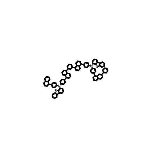 c1ccc(-c2ccc3cccc(-c4ccc(N(c5ccc(-c6cccc7c(-c8cccc(-c9cccc%10c(-c%11ccc(N(c%12ccc(-c%13cccc%14ccccc%13%14)cc%12)c%12cccc%13c%12sc%12ccccc%12%13)cc%11)cccc9%10)c8)cccc67)cc5)c5cccc6c5sc5ccccc56)cc4)c3c2)cc1